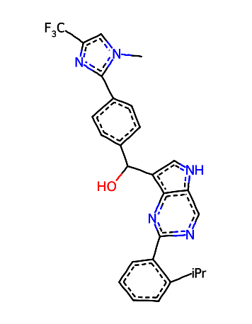 CC(C)c1ccccc1-c1ncc2[nH]cc(C(O)c3ccc(-c4nc(C(F)(F)F)cn4C)cc3)c2n1